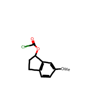 COc1ccc2c(c1)C(OC(=O)Cl)CC2